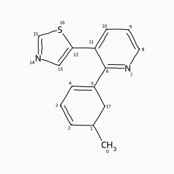 CC1C=CC=C(c2ncccc2-c2cncs2)C1